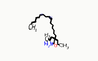 CCCCC/C=C\C/C=C\CCCCCCC(CCC)(CCC)C(N)=O